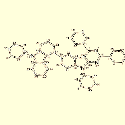 c1ccc(-c2nc(-c3ccccc3)c3c4cc(-c5cccc6c5c5ccccc5n6-c5ccccc5)ccc4n(-c4ccccc4)c3n2)cc1